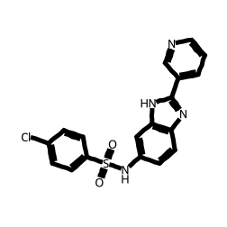 O=S(=O)(Nc1ccc2nc(-c3cccnc3)[nH]c2c1)c1ccc(Cl)cc1